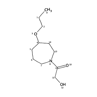 CCCOC1CCCN(C(=O)CO)CC1